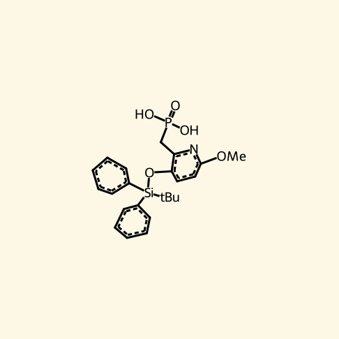 COc1ccc(O[Si](c2ccccc2)(c2ccccc2)C(C)(C)C)c(CP(=O)(O)O)n1